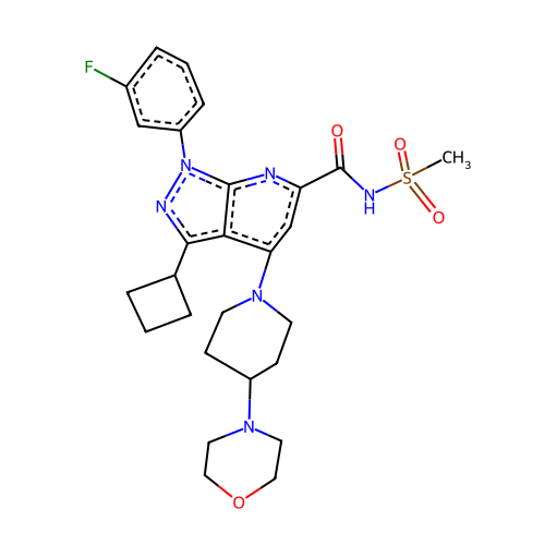 CS(=O)(=O)NC(=O)c1cc(N2CCC(N3CCOCC3)CC2)c2c(C3CCC3)nn(-c3cccc(F)c3)c2n1